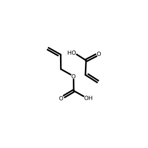 C=CC(=O)O.C=CCOC(=O)O